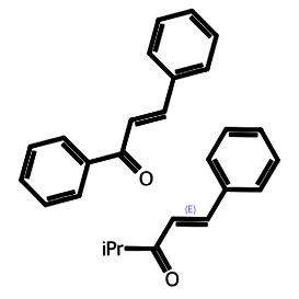 CC(C)C(=O)/C=C/c1ccccc1.O=C(C=Cc1ccccc1)c1ccccc1